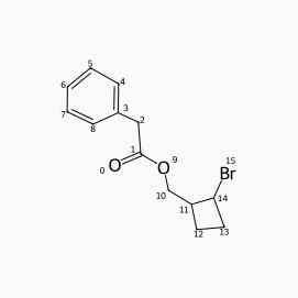 O=C(Cc1ccccc1)OCC1CCC1Br